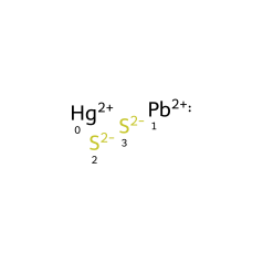 [Hg+2].[Pb+2].[S-2].[S-2]